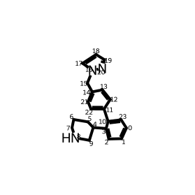 c1ccc(C2CCCNC2)c(-c2ccc(Cn3cccn3)cc2)c1